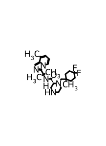 Cc1cccn2c(C(C)(C)NC(=O)[C@@H]3CNCCN3CC3(C)CCC(F)(F)CC3)ncc12